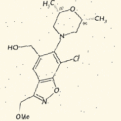 COCc1noc2c(Cl)c(N3C[C@@H](C)O[C@@H](C)C3)c(CO)cc12